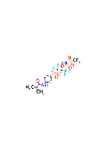 C=C(C)C(=O)Nc1ccc(OS(=O)(=O)C(F)(F)C(F)(F)C(F)(F)S(=O)(=O)NS(=O)(=O)C(F)(F)F)cc1